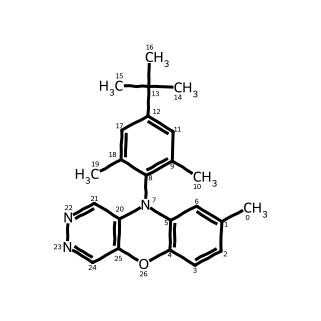 Cc1ccc2c(c1)N(c1c(C)cc(C(C)(C)C)cc1C)c1cnncc1O2